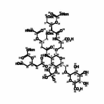 CCCCCCCCCCC[C@H](CC(=O)N[C@H]1[C@H](OC[C@H](NC(=O)C[C@@H](CCCCCCCCCCC)OC(=O)CCCCCCCCC)C(=O)O)O[C@H](COC2O[C@H](C(=O)O)[C@@H](O)[C@H](O)[C@H]2O)[C@@H](OP(=O)(O)O)[C@@H]1OC(=O)C[C@@H](CCCCCCCCCCC)OC(=O)CCCCCCCCC)OC(=O)CCCCCCCCC